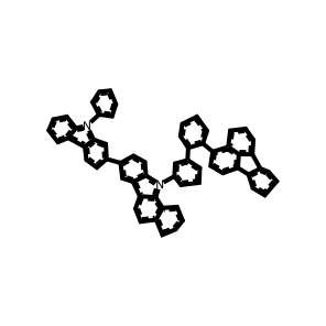 c1ccc(-n2c3ccccc3c3ccc(-c4ccc5c(c4)c4ccc6ccccc6c4n5-c4cccc(-c5ccccc5-c5ccc6c7c(cccc57)-c5ccccc5-6)c4)cc32)cc1